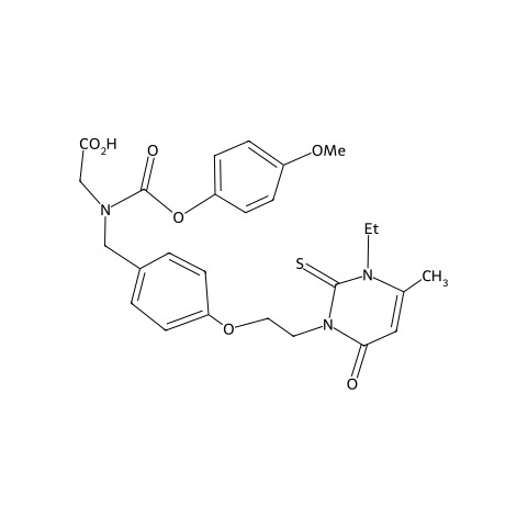 CCn1c(C)cc(=O)n(CCOc2ccc(CN(CC(=O)O)C(=O)Oc3ccc(OC)cc3)cc2)c1=S